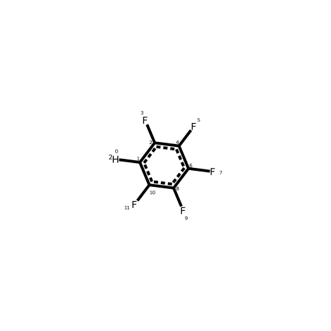 [2H]c1c(F)c(F)c(F)c(F)c1F